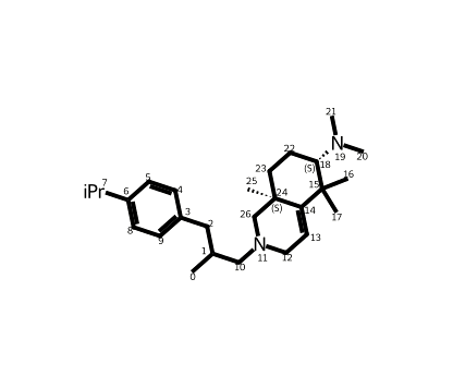 CC(Cc1ccc(C(C)C)cc1)CN1CC=C2C(C)(C)[C@@H](N(C)C)CC[C@]2(C)C1